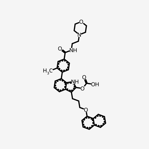 Cc1cc(C(=O)NCCN2CCOCC2)ccc1-c1cccc2c(CCCOc3cccc4ccccc34)c(OC(=O)O)[nH]c12